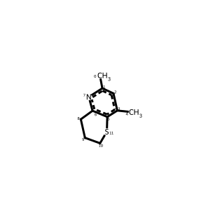 Cc1cc(C)c2c(n1)CCCS2